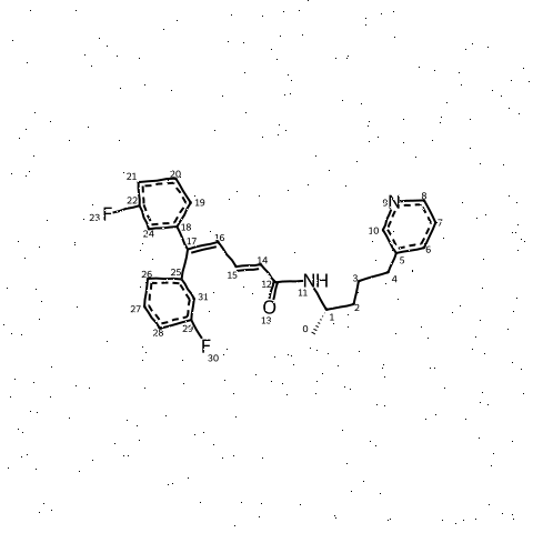 C[C@@H](CCCc1cccnc1)NC(=O)/C=C/C=C(c1cccc(F)c1)c1cccc(F)c1